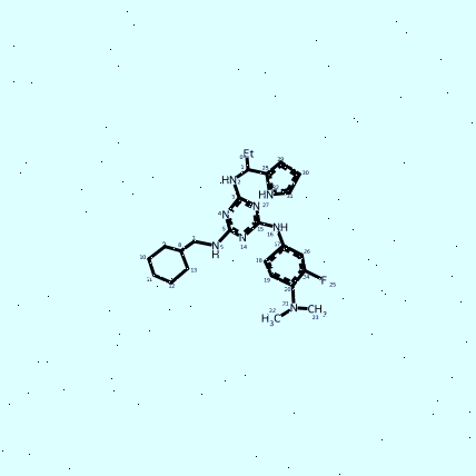 CCC(Nc1nc(NCC2CCCCC2)nc(Nc2ccc(N(C)C)c(F)c2)n1)c1ccc[nH]1